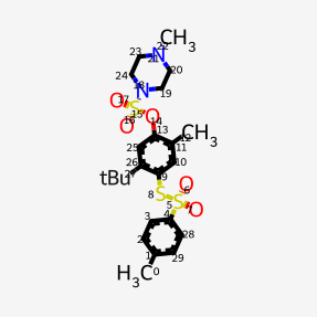 Cc1ccc(S(=O)(=O)Sc2cc(C)c(OS(=O)(=O)N3CCN(C)CC3)cc2C(C)(C)C)cc1